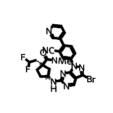 CNC(=O)[C@]1(CC(F)F)CC[C@@H](Nc2ncc3c(Br)nn(-c4ccc(-c5cccnc5)c(C#N)c4)c3n2)C1